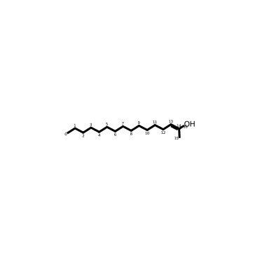 CCCCCCCCCCCCC/C=C(\C)O